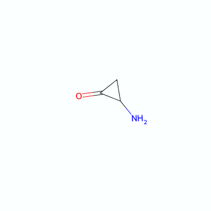 NC1CC1=O